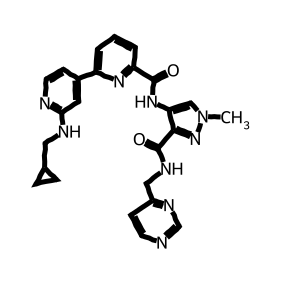 Cn1cc(NC(=O)c2cccc(-c3ccnc(NCC4CC4)c3)n2)c(C(=O)NCc2ccncn2)n1